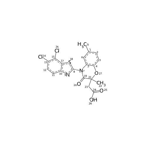 Cc1ccc2c(c1)N(c1nc3ccc(Cl)c(Cl)c3s1)C(=O)C(C)(CC(=O)O)O2